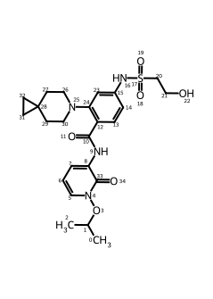 CC(C)On1cccc(NC(=O)c2ccc(NS(=O)(=O)CCO)cc2N2CCC3(CC2)CC3)c1=O